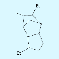 CCC1CCC2C3CC(C(C)C3CC)C12